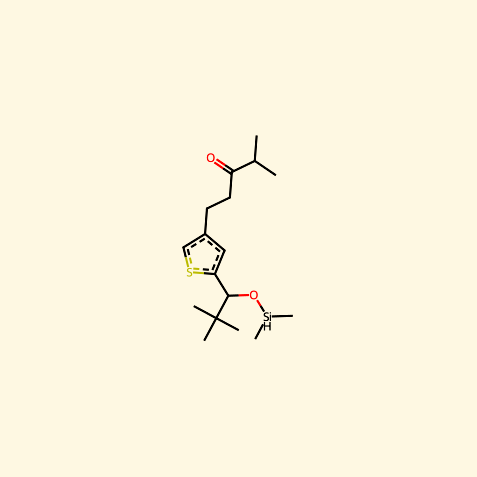 CC(C)C(=O)CCc1csc(C(O[SiH](C)C)C(C)(C)C)c1